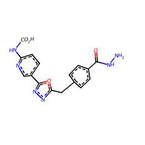 NNC(=O)c1ccc(Cc2nnc(-c3ccc(NC(=O)O)nc3)o2)cc1